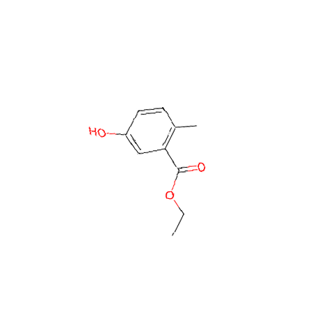 CCOC(=O)c1cc(O)ccc1C